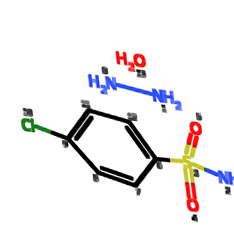 NN.NS(=O)(=O)c1ccc(Cl)cc1.O